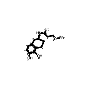 CCCOCCC(CC)NC1CCc2c(ccc(O)c2O)C1